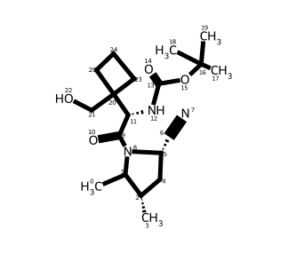 CC1[C@@H](C)C[C@@H](C#N)N1C(=O)[C@@H](NC(=O)OC(C)(C)C)C1(CO)CCC1